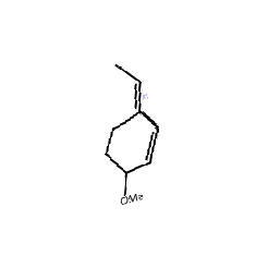 C/C=C1/C=CC(OC)CC1